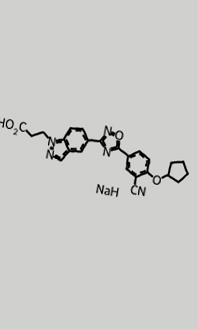 N#Cc1cc(-c2nc(-c3ccc4c(cnn4CCC(=O)O)c3)no2)ccc1OC1CCCC1.[NaH]